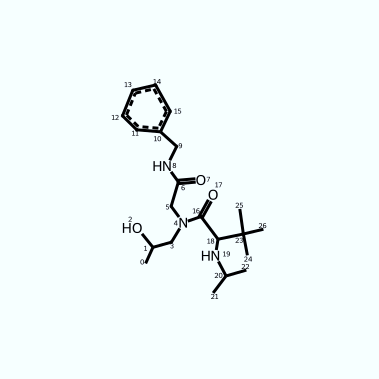 CC(O)CN(CC(=O)NCc1ccccc1)C(=O)C(NC(C)C)C(C)(C)C